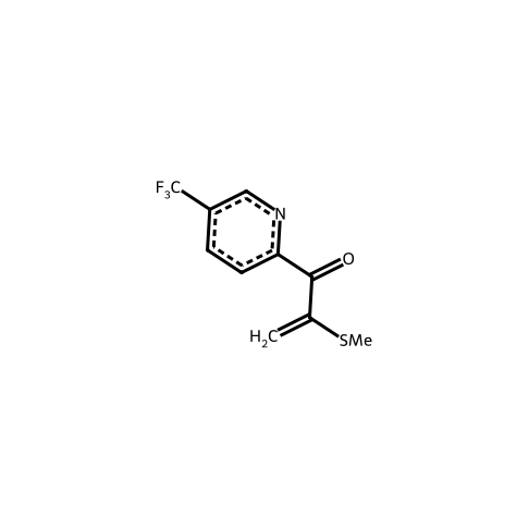 C=C(SC)C(=O)c1ccc(C(F)(F)F)cn1